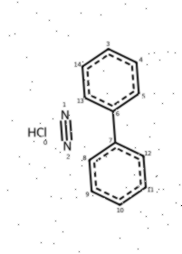 Cl.N#N.c1ccc(-c2ccccc2)cc1